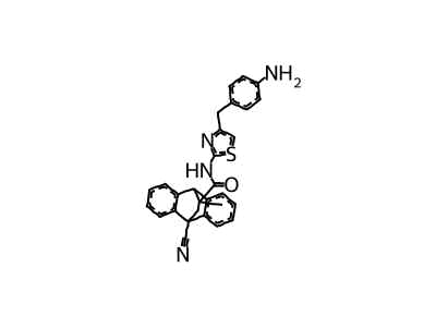 CC1(C(=O)Nc2nc(Cc3ccc(N)cc3)cs2)CC2(C#N)c3ccccc3C1c1ccccc12